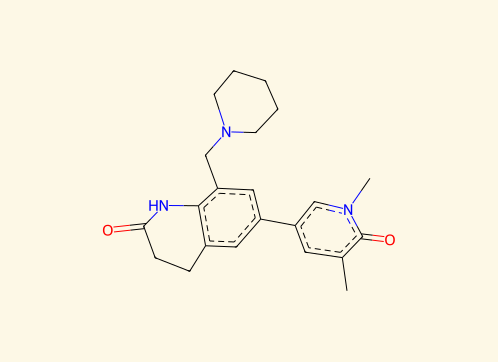 Cc1cc(-c2cc3c(c(CN4CCCCC4)c2)NC(=O)CC3)cn(C)c1=O